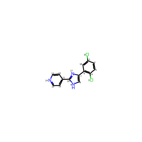 Clc1ccc(Cl)c(-c2c[nH]c(-c3ccncc3)n2)c1